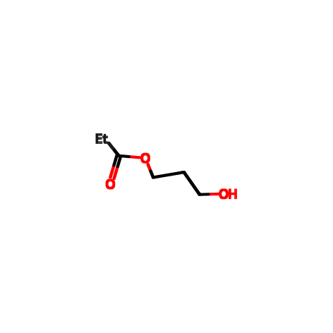 CCC(=O)OCCCO